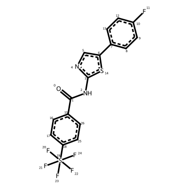 O=C(Nc1ncc(-c2ccc(F)cc2)s1)c1ccc(S(F)(F)(F)(F)F)cc1